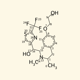 CC(Cc1ccc(OCCO)cc1)N(C)CC(O)c1csc(C(F)(F)F)n1